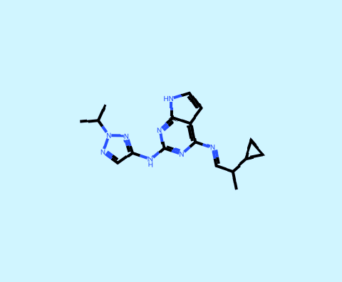 CC(/C=N/c1nc(Nc2cnn(C(C)C)n2)nc2[nH]ccc12)C1CC1